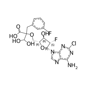 Nc1nc(Cl)nc2c1ncn2[C@@H]1O[C@H](COC(Cc2cccc(F)c2)(C(=O)O)C(O)O)[C@@H](O)[C@@H]1F